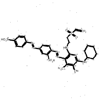 C=CS(=O)(=O)CCNc1nc(NC2CCCCC2)c(C#N)c(C)c1/N=N/c1ccc(/N=N/c2ccc(S(=O)(=O)O)cc2)cc1S(=O)(=O)O